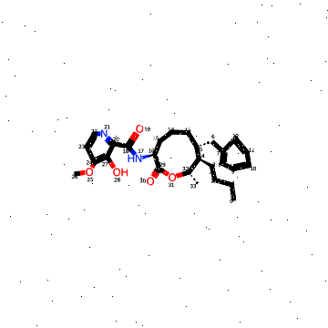 CCCC[C@@H]1[C@@H](Cc2ccccc2)CCC[C@H](NC(=O)c2nccc(OC)c2O)C(=O)O[C@H]1C